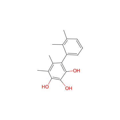 Cc1cccc(-c2c(C)c(C)c(O)c(O)c2O)c1C